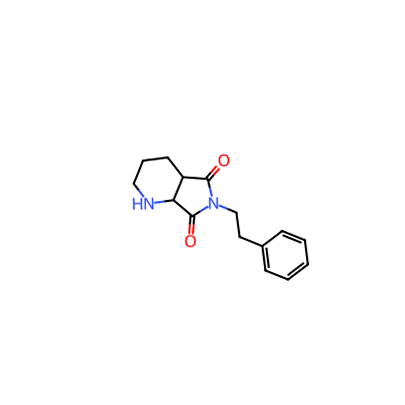 O=C1C2CCCNC2C(=O)N1CCc1ccccc1